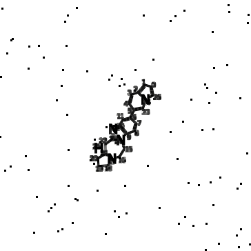 c1cc2ccc(-c3ccc4c(c3)nc3n4CCN4CCC[C@H]4C3)cn2c1